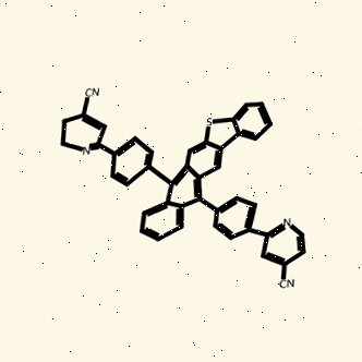 N#CC1=CC(c2ccc(-c3c4ccccc4c(-c4ccc(-c5cc(C#N)ccn5)cc4)c4cc5c(cc34)sc3ccccc35)cc2)=NCC1